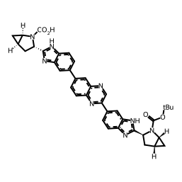 CC(C)(C)OC(=O)N1[C@@H]2C[C@@H]2C[C@H]1c1nc2ccc(-c3cnc4cc(-c5ccc6[nH]c([C@@H]7C[C@H]8C[C@H]8N7C(=O)O)nc6c5)ccc4n3)cc2[nH]1